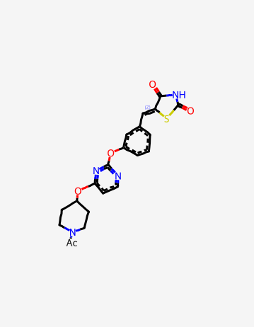 CC(=O)N1CCC(Oc2ccnc(Oc3cccc(/C=C4\SC(=O)NC4=O)c3)n2)CC1